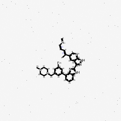 C=N/C=C\C=C(/C)c1cnc2[nH]nc(-c3nc4c(-c5cc(F)cc(CN6CCN(C)CC6)c5)cccc4[nH]3)c2c1